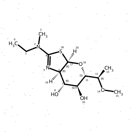 CCN(C)C1=N[C@@H]2[C@@H](O)[C@H](O)[C@@H]([C@@H](C)OC)O[C@@H]2S1